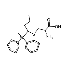 CCCC(SCC(N)C(=O)O)[Si](C)(c1ccccc1)c1ccccc1